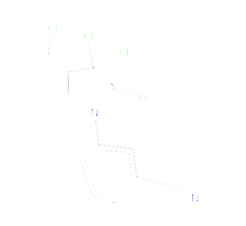 N#Cc1cccc(N2CC(CCl)C(Cl)(Cl)C2=O)c1